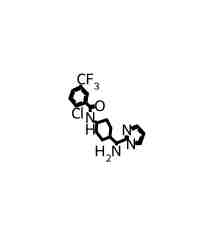 NC(c1ncccn1)C1CCC(NC(=O)c2cc(C(F)(F)F)ccc2Cl)CC1